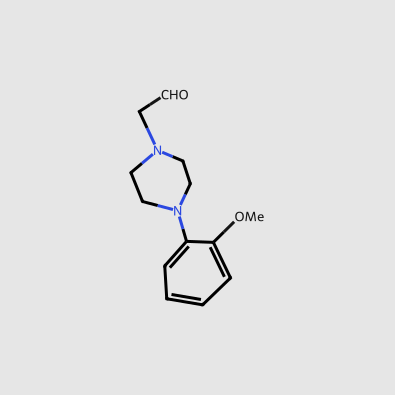 COc1ccccc1N1CCN(CC=O)CC1